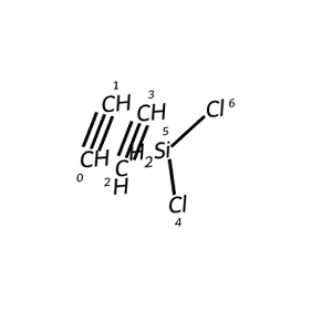 C#C.C#C.Cl[SiH2]Cl